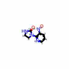 O=Nc1cccnc1N1CCNC1=O